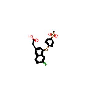 CS(=O)(=O)c1ccc(Sc2cc(CC(=O)O)cc3ccc(F)cc23)cc1